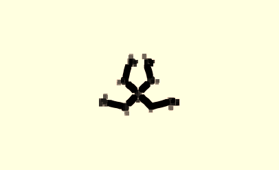 CCC(C)C[Si](OC(C)C)(OC(C)C)OC(C)C